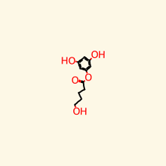 O=C(CCCCO)Oc1cc(O)cc(O)c1